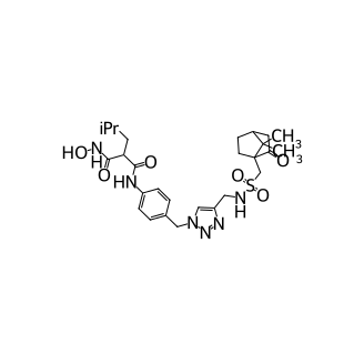 CC(C)CC(C(=O)NO)C(=O)Nc1ccc(Cn2cc(CNS(=O)(=O)CC34CCC(CC3=O)C4(C)C)nn2)cc1